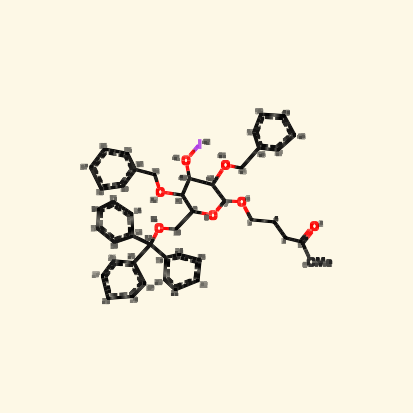 COC(=O)CCCOC1OC(COC(c2ccccc2)(c2ccccc2)c2ccccc2)C(OCc2ccccc2)C(OI)C1OCc1ccccc1